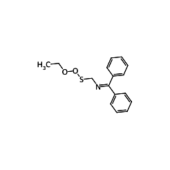 CCOOSCN=C(c1ccccc1)c1ccccc1